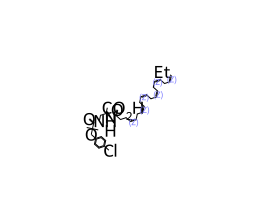 CC/C=C\C/C=C\C/C=C\C/C=C\C/C=C\C/C=C\CCC(=O)NC(CNC(=O)C(C)(C)Oc1ccc(Cl)cc1)C(=O)O